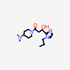 CCCn1ccnc1[C@@H](O)CC(=O)N1CCC(N(C)C)CC1